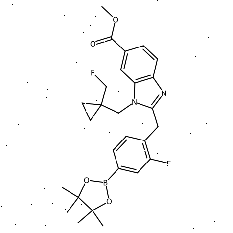 COC(=O)c1ccc2nc(Cc3ccc(B4OC(C)(C)C(C)(C)O4)cc3F)n(CC3(CF)CC3)c2c1